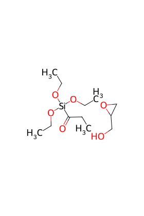 CCO[Si](OCC)(OCC)C(=O)CC.OCC1CO1